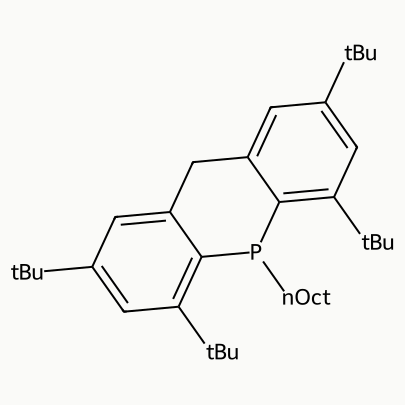 CCCCCCCCP1c2c(cc(C(C)(C)C)cc2C(C)(C)C)Cc2cc(C(C)(C)C)cc(C(C)(C)C)c21